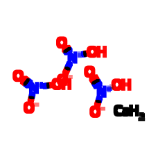 O=[N+]([O-])O.O=[N+]([O-])O.O=[N+]([O-])O.[CaH2]